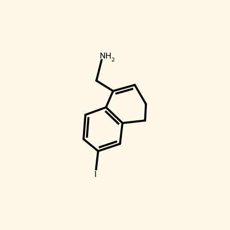 NCC1=CCCc2cc(I)ccc21